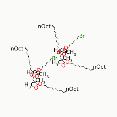 CCCCCCCC/C=C\CCCCCCCCOC(=O)C(C)(C)CC(OCCCCCCCC/C=C\CCCCCCCC)O[Si](C)(C)OCCCCCCBr.CCCCCCCC/C=C\CCCCCCCCOC(=O)C(C)(C)CC(OCCCCCCCC/C=C\CCCCCCCC)O[Si](C)(C)OCCCCCCBr